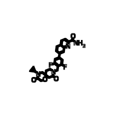 NC(=O)c1ccc2ccc(-c3cc(F)c(CN4CCC5(CC4=O)CN(C4CC4)C(=O)CO5)c(F)c3)cc2n1